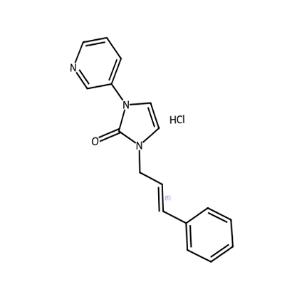 Cl.O=c1n(C/C=C/c2ccccc2)ccn1-c1cccnc1